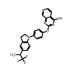 CC(c1ccc2c(c1)CCN2c1ccc(Oc2nc(O)c3ccncc3n2)cc1)C(F)(F)F